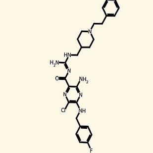 N/C(=N\C(=O)c1nc(Cl)c(NCc2ccc(F)cc2)nc1N)NCC1CCN(CCc2ccccc2)CC1